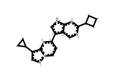 c1cn2ncc(C3CC3)c2nc1-c1c[nH]c2nc(C3CCC3)ncc12